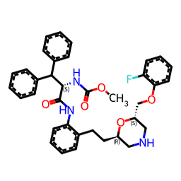 COC(=O)N[C@H](C(=O)Nc1ccccc1CC[C@@H]1CNC[C@@H](COc2ccccc2F)O1)C(c1ccccc1)c1ccccc1